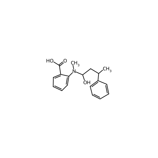 CC(CC(O)N(C)c1ccccc1C(=O)O)c1ccccc1